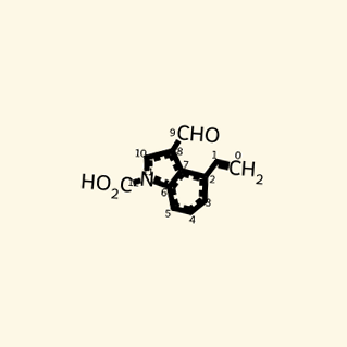 C=Cc1cccc2c1c(C=O)cn2C(=O)O